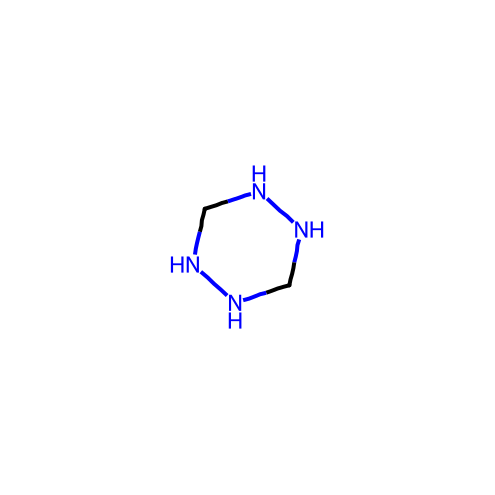 C1NNCNN1